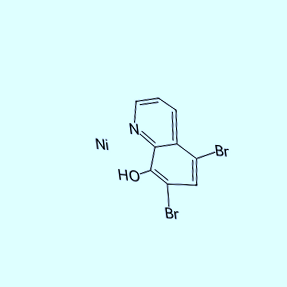 Oc1c(Br)cc(Br)c2cccnc12.[Ni]